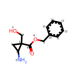 NC1CC1(CO)C(=O)OCc1ccccc1